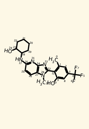 Cc1cc(C(F)(F)F)cc(O)c1-c1nc2nc(NC3CCCCC3O)ccc2n1C